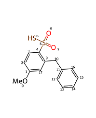 COc1ccc(S(=O)(=O)S)c(Cc2ccccc2)c1